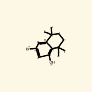 CC1(C)CCC(C)(C)c2c(O)cc(Br)cc21